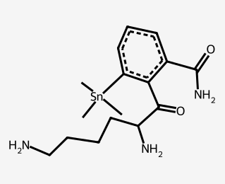 [CH3][Sn]([CH3])([CH3])[c]1cccc(C(N)=O)c1C(=O)C(N)CCCCN